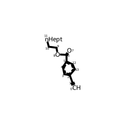 C#Cc1ccc(C(=O)OCCCCCCCCC)cc1